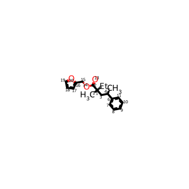 CCC(C)(CC(C)c1ccccc1)C(=O)OCc1ccco1